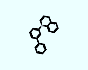 C1=CN(c2cccc(-c3ccccc3)c2)c2ccccc2C1